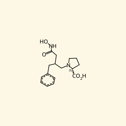 O=C(CC(Cc1ccccc1)CN1CCC[C@H]1C(=O)O)NO